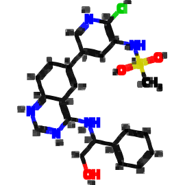 CS(=O)(=O)Nc1cc(-c2ccc3ncnc(NC(CO)c4ccccc4)c3c2)cnc1Cl